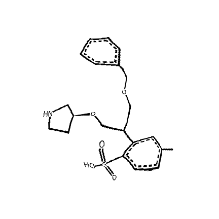 Cc1ccc(S(=O)(=O)O)c(C(COCc2ccccc2)CO[C@H]2CCNC2)c1